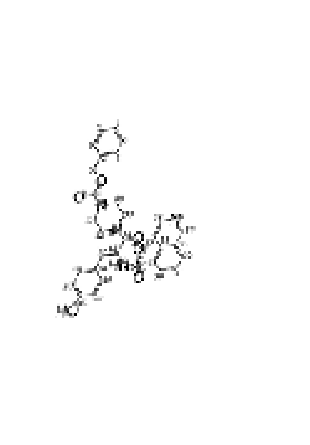 O=C(OCc1ccccc1)N1CCN(C(=O)[C@H](Cc2ccc(O)cc2)NS(=O)(=O)c2cccc3cnccc23)CC1